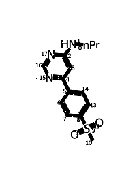 CCCNc1cc(-c2ccc(S(C)(=O)=O)cc2)ncn1